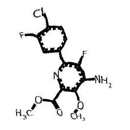 COC(=O)c1nc(-c2ccc(Cl)c(F)c2)c(F)c(N)c1OC